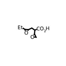 CCC1OC1CC(C(=O)O)C1CO1